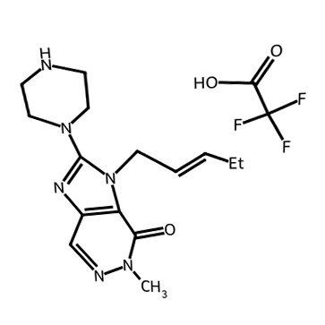 CCC=CCn1c(N2CCNCC2)nc2cnn(C)c(=O)c21.O=C(O)C(F)(F)F